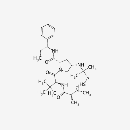 CC[C@@H](NC(=O)[C@@H]1C[C@H](NC(C)(C)SS)CN1C(=O)[C@@H](NC(=O)[C@H](C)NC)C(C)(C)C)c1ccccc1